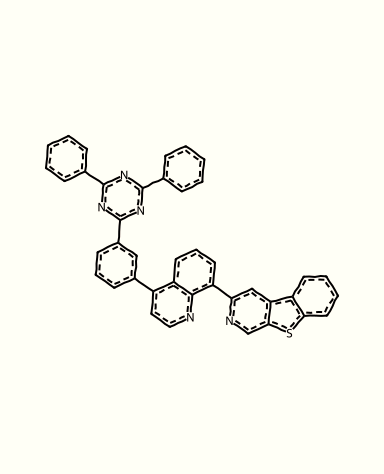 c1ccc(-c2nc(-c3ccccc3)nc(-c3cccc(-c4ccnc5c(-c6cc7c(cn6)sc6ccccc67)cccc45)c3)n2)cc1